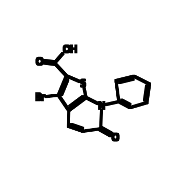 O=C(O)c1sc2c(ccc(=O)n2-c2ccccc2)c1Br